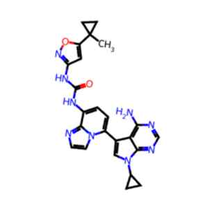 CC1(c2cc(NC(=O)Nc3ccc(-c4cn(C5CC5)c5ncnc(N)c45)n4ccnc34)no2)CC1